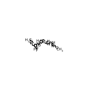 COCCn1cc(Nc2ncc(CN3CCc4ccc(C(=O)Nc5cc(CN6CCN(C)CC6)cc(C(F)(F)F)c5)cc43)cn2)cn1